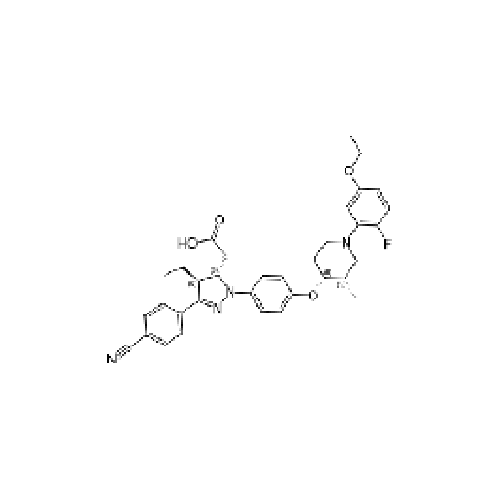 CCOc1ccc(F)c(N2CC[C@@H](Oc3ccc(N4N=C(c5ccc(C#N)cc5)[C@@H](CC)[C@@H]4CC(=O)O)cc3)[C@@H](C)C2)c1